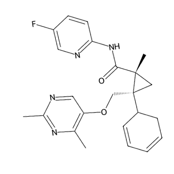 Cc1ncc(OC[C@@]2(C3C=CC=CC3)C[C@@]2(C)C(=O)Nc2ccc(F)cn2)c(C)n1